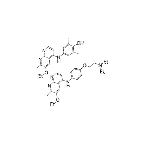 CCOc1cc2c(Nc3cc(C)c(O)c(C)c3)ccnc2nc1C.CCOc1cc2c(Nc3ccc(OCCN(CC)CC)cc3)ccnc2nc1C